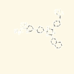 C=C/C=C\c1ccc(-c2nc(-c3ccc(-c4ccc(C(C)C)nc4)cc3)nc(-c3ccc4ccccc4c3)n2)cc1